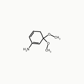 COC1(OC)C=C(N)C=CC1